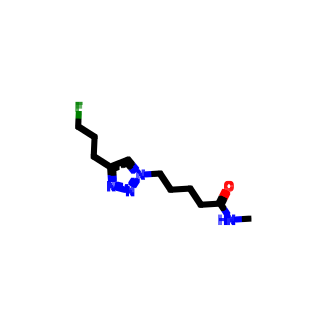 CNC(=O)CCCCn1cc(CCCF)nn1